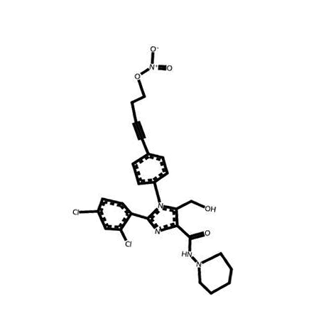 O=C(NN1CCCCC1)c1nc(-c2ccc(Cl)cc2Cl)n(-c2ccc(C#CCCO[N+](=O)[O-])cc2)c1CO